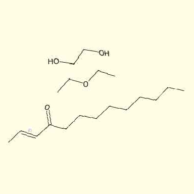 C/C=C/C(=O)CCCCCCCCC.CCOCC.OCCO